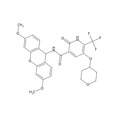 COc1ccc2c(c1)Oc1cc(OC)ccc1C2NC(=O)c1cc(OC2CCOCC2)c(C(F)(F)F)[nH]c1=O